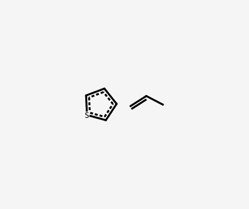 C=CC.c1ccsc1